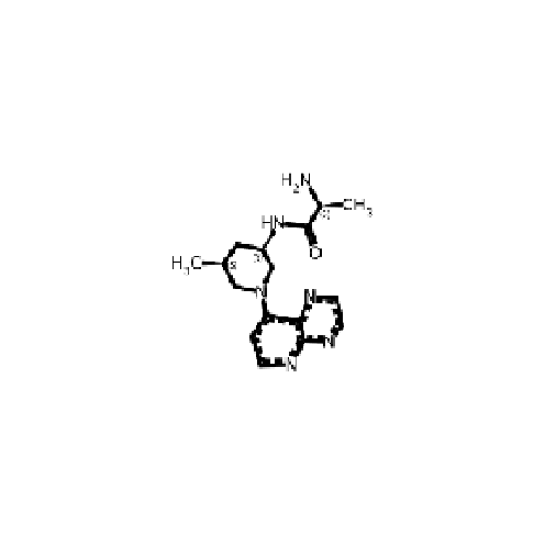 C[C@H]1C[C@@H](NC(=O)[C@H](C)N)CN(c2ccnc3nccnc23)C1